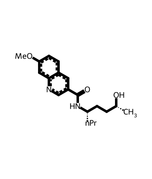 CCC[C@@H](CC[C@@H](C)O)NC(=O)c1cnc2cc(OC)ccc2c1